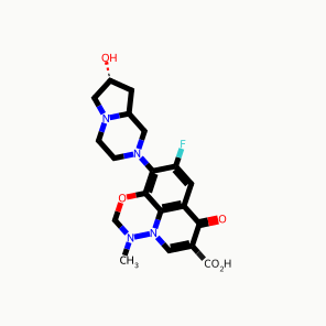 CN1COc2c(N3CCN4C[C@H](O)CC4C3)c(F)cc3c(=O)c(C(=O)O)cn1c23